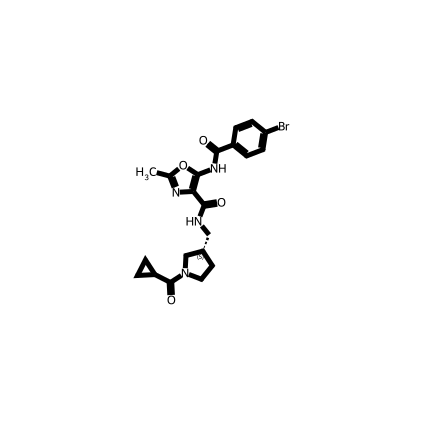 Cc1nc(C(=O)NC[C@@H]2CCN(C(=O)C3CC3)C2)c(NC(=O)c2ccc(Br)cc2)o1